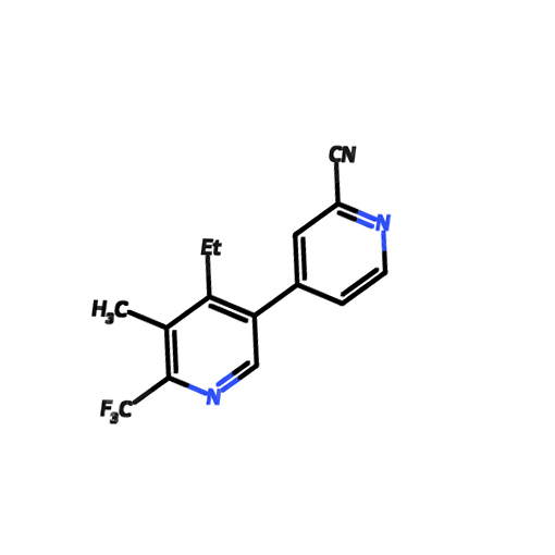 CCc1c(-c2ccnc(C#N)c2)cnc(C(F)(F)F)c1C